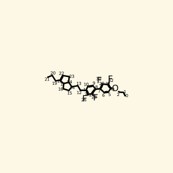 CCCOc1ccc(-c2ccc(CCC3CCC4C(CCC)=CCC34)c(F)c2F)c(F)c1F